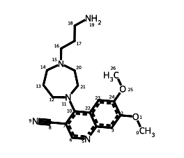 COc1cc2ncc(C#N)c(N3CCCN(CCCN)CC3)c2cc1OC